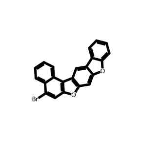 Brc1cc2oc3cc4oc5ccccc5c4cc3c2c2ccccc12